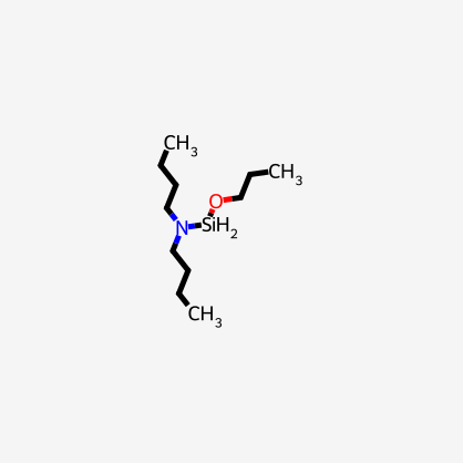 CCCCN(CCCC)[SiH2]OCCC